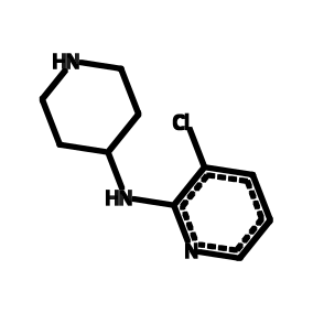 Clc1cccnc1NC1CCNCC1